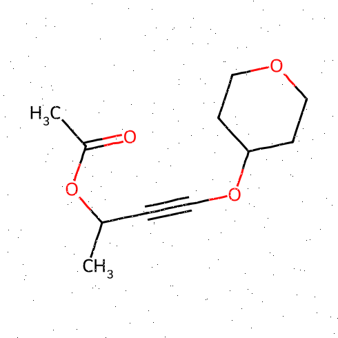 CC(=O)OC(C)C#COC1CCOCC1